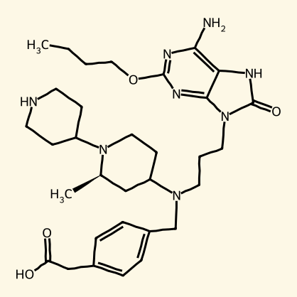 CCCCOc1nc(N)c2[nH]c(=O)n(CCCN(Cc3ccc(CC(=O)O)cc3)C3CCN(C4CCNCC4)[C@H](C)C3)c2n1